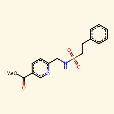 COC(=O)c1ccc(CNS(=O)(=O)CCc2ccccc2)nc1